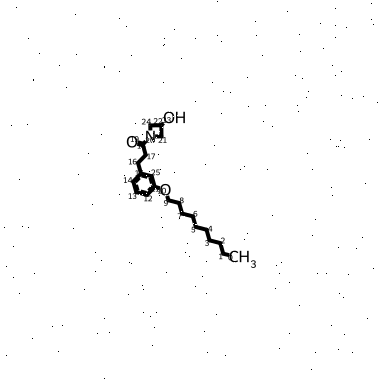 CCCCCCCCCCOc1cccc(CCC(=O)N2CC(O)C2)c1